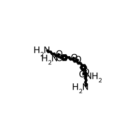 NCCCC[C@H](N)C(=O)Oc1ccc(C=CC(=O)CC(=O)C=Cc2ccc(OC(=O)[C@@H](N)CCCCN)cc2)cc1